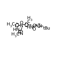 Cc1ccc2c(c1)Nc1c(cnn1C)CN2C(=O)c1ccc(CNC(=O)ON2CCN(CC(C)(C)C)CC2)c(C)c1